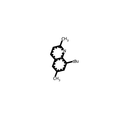 Cc1cc(C(C)(C)C)c2nc(C)ccc2c1